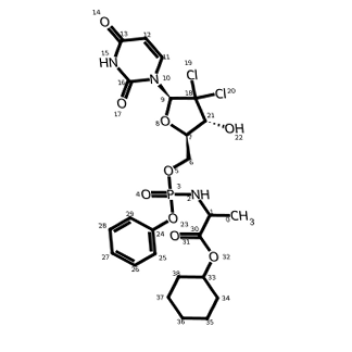 CC(NP(=O)(OC[C@H]1O[C@@H](n2ccc(=O)[nH]c2=O)C(Cl)(Cl)[C@@H]1O)Oc1ccccc1)C(=O)OC1CCCCC1